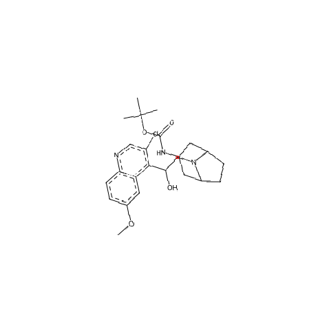 COc1ccc2ncc(Cl)c(C(O)CN3C4CCC3CC(NC(=O)OC(C)(C)C)C4)c2c1